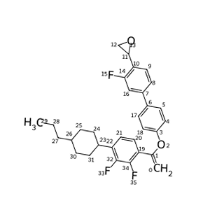 C=C(Oc1ccc(-c2ccc(C3CO3)c(F)c2)cc1)c1ccc(C2CCC(CCC)CC2)c(F)c1F